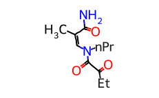 CCCN(C=C(C)C(N)=O)C(=O)C(=O)CC